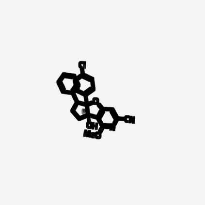 COc1nc(C#N)cc2c1[C@]1(O)CCC(c3ccccc3)C1(c1ccc(Cl)cc1)O2